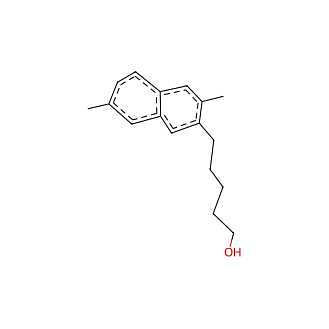 Cc1ccc2cc(C)c(CCCCCO)cc2c1